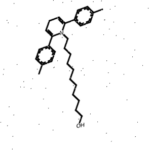 Cc1ccc(C2=CCC=C(c3ccc(C)cc3)N2CCCCCCCCCCCO)cc1